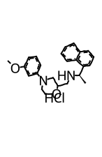 COc1cccc(N2CCOC(CN[C@H](C)c3cccc4ccccc34)C2)c1.Cl